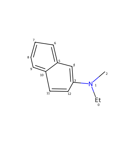 CCN(C)c1[c]c2ccccc2cc1